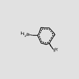 Bc1cccc(C(C)C)c1